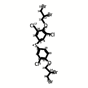 Clc1cc(Sc2cc(Cl)c(OCC(Br)CBr)c(Cl)c2)ccc1OCC(Br)CBr